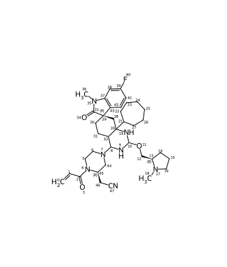 C=CC(=O)N1CCN(C2NC(OC[C@H]3CCCN3C)NC3(C4CCCCCC4)C[C@@]4(CCC23)C(=O)N(C)c2cc(F)ccc24)C[C@H]1CC#N